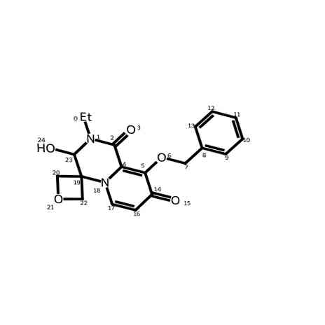 CCN1C(=O)c2c(OCc3ccccc3)c(=O)ccn2C2(COC2)C1O